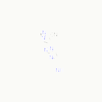 Cc1cn2cc(-c3ncc4nc(C5CCNCC5)ccc4n3)cc(C#N)c2n1